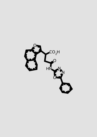 O=C(CC(C(=O)O)c1coc2ccc3ccccc3c12)Nc1nnc(-c2ccccc2)o1